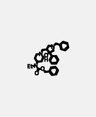 CCN(C(=O)OCc1ccccc1)C1CCN(CC2CN(Cc3ccccc3)CC2(O)c2ccccc2)CC1